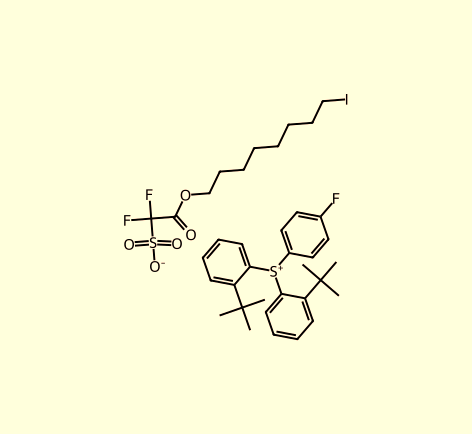 CC(C)(C)c1ccccc1[S+](c1ccc(F)cc1)c1ccccc1C(C)(C)C.O=C(OCCCCCCCCI)C(F)(F)S(=O)(=O)[O-]